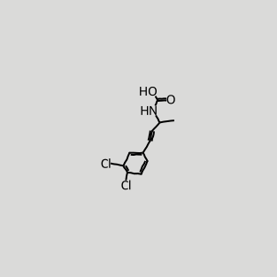 CC(C#Cc1ccc(Cl)c(Cl)c1)NC(=O)O